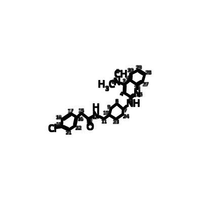 CN(C)c1cc(NC2CCC(CNC(=O)Cc3ccc(Cl)cc3)CC2)nc2ccccc12